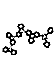 c1ccc(-c2nc(-c3ccccc3)nc(-c3ccc4c5ccc(-n6c7ccccc7c7cc(-n8c9ccccc9c9cc(-n%10c%11ccccc%11c%11ccccc%11%10)ccc98)ccc76)cc5c5ccccc5c4c3)n2)cc1